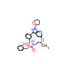 CC(CCNC(=O)OCc1ccccc1)Oc1cnc2c(c1)c(-c1cccc(CO)c1)nn2C1CCCCO1